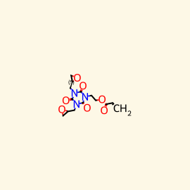 C=CC(=O)OCCn1c(=O)n(CC2CO2)c(=O)n(C[C@H]2CO2)c1=O